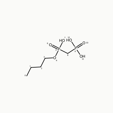 CCCCOP(=O)(O)CP(=O)(O)O